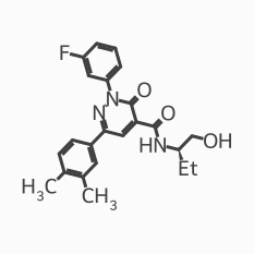 CC[C@H](CO)NC(=O)c1cc(-c2ccc(C)c(C)c2)nn(-c2cccc(F)c2)c1=O